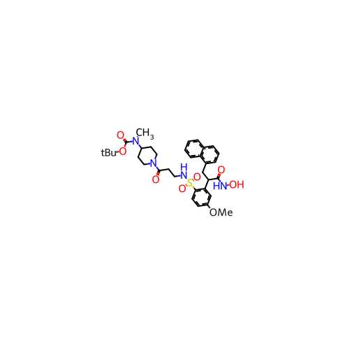 COc1ccc(S(=O)(=O)NCCC(=O)N2CCC(N(C)C(=O)OC(C)(C)C)CC2)c(C(Cc2cccc3ccccc23)C(=O)NO)c1